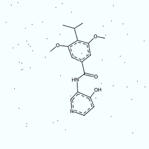 COc1cc(C(=O)Nc2cnccc2O)cc(OC)c1C(C)C